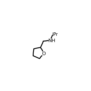 CC(C)NCC1CCCO1